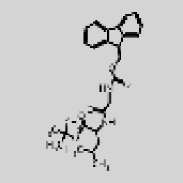 CC(C)C[C@H](NC(=O)CNC(=O)OCC1c2ccccc2-c2ccccc21)C(=O)OC(C)(C)C